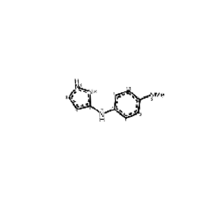 CSc1ccc(Nc2cc[nH]n2)cc1